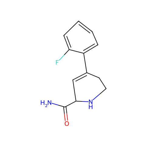 NC(=O)C1C=C(c2ccccc2F)CCN1